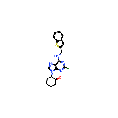 O=C1CCCCC1n1cnc2c(NCc3cc4ccccc4s3)nc(Cl)nc21